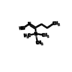 CCCC(=NO)[Si](C)(C)C